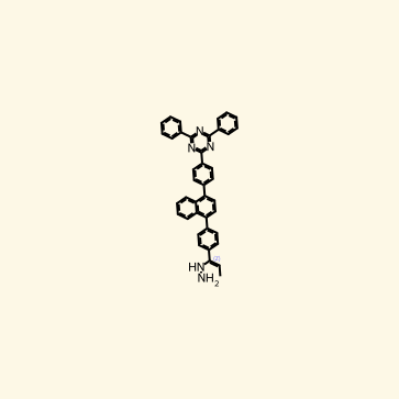 C/C=C(\NN)c1ccc(-c2ccc(-c3ccc(-c4nc(-c5ccccc5)nc(-c5ccccc5)n4)cc3)c3ccccc23)cc1